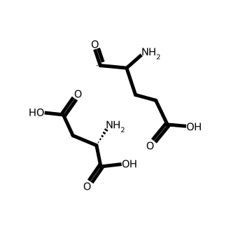 NC([C]=O)CCC(=O)O.N[C@@H](CC(=O)O)C(=O)O